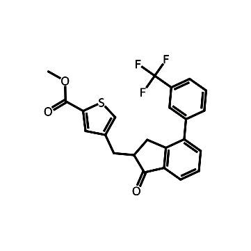 COC(=O)c1cc(CC2Cc3c(cccc3-c3cccc(C(F)(F)F)c3)C2=O)cs1